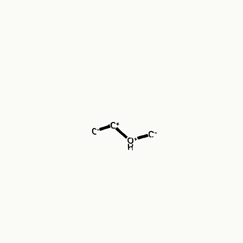 [CH2-][CH+][OH+][CH2-]